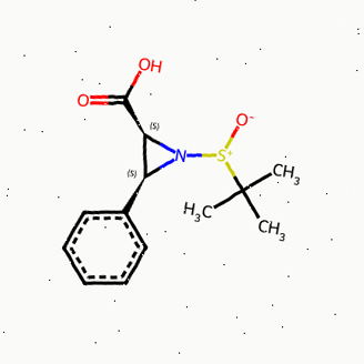 CC(C)(C)[S+]([O-])N1[C@H](C(=O)O)[C@@H]1c1ccccc1